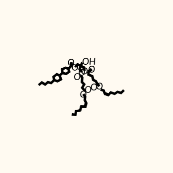 CCCCC/C=C\CCOC(=O)CCCCC(=O)OCC(CO)(COC(=O)CCCCC(=O)OCC/C=C\CCCCC)COC(=O)C1CCC(C2CCC(CCCCC)CC2)CC1